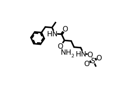 CC(Cc1ccccc1)NC(=O)C(CCCNOS(C)(=O)=O)ON